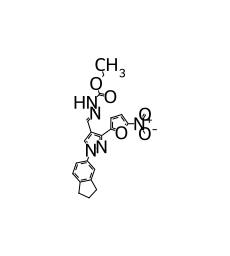 CCOC(=O)N/N=C/c1cn(-c2ccc3c(c2)CCC3)nc1-c1ccc([N+](=O)[O-])o1